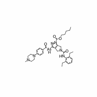 CCCCCOC(=O)n1nc([AsH]C(=O)c2ccc(N3CCN(C)CC3)cc2)c2c1CN(C(=O)Nc1c(CC)cccc1CC)C2